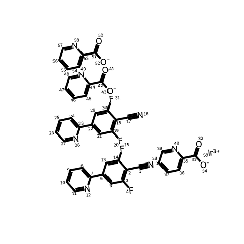 N#Cc1c(F)cc(-c2ccccn2)cc1F.N#Cc1c(F)cc(-c2ccccn2)cc1F.O=C([O-])c1ccccn1.O=C([O-])c1ccccn1.O=C([O-])c1ccccn1.[Ir+3]